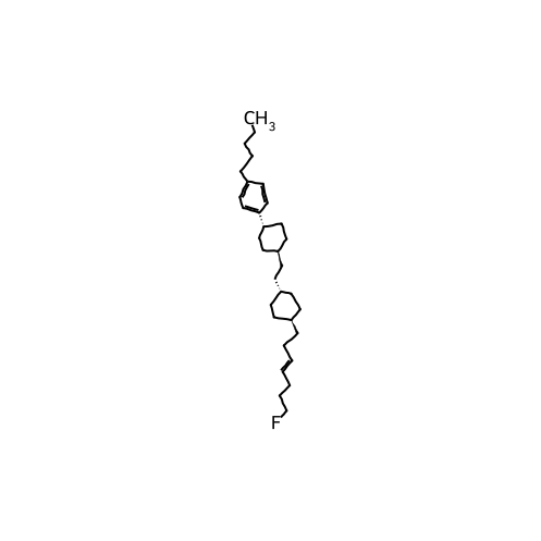 CCCCCc1ccc([C@H]2CC[C@H](CC[C@H]3CC[C@H](CCC=CCCCF)CC3)CC2)cc1